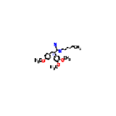 C=CCCCCN=C(C#N)/C(=C/c1ccc(OC)cc1)c1ccc(OC)c(OC)c1